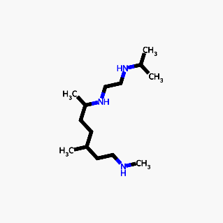 CNCCC(C)CCC(C)NCCNC(C)C